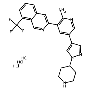 Cl.Cl.Cl.Nc1ncc(-c2cnn(C3CCNCC3)c2)cc1-c1cc2cccc(C(F)(F)F)c2cn1